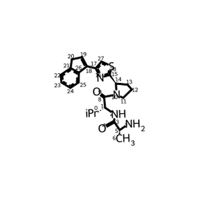 CC(C)[C@@H](NC(=O)[C@@H](C)N)C(=O)N1CCC[C@@H]1c1nc(C2=CCc3ccccc32)cs1